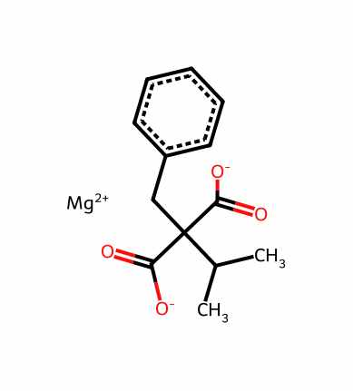 CC(C)C(Cc1ccccc1)(C(=O)[O-])C(=O)[O-].[Mg+2]